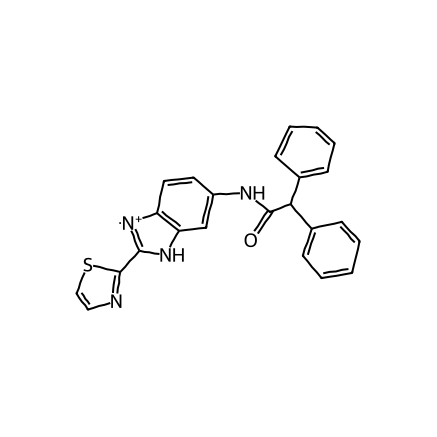 O=C(Nc1ccc2c(c1)NC(c1nccs1)=[N+]2)C(c1ccccc1)c1ccccc1